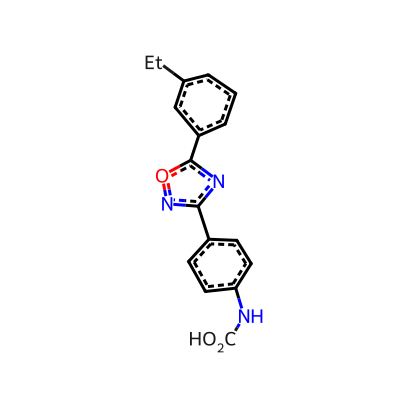 CCc1cccc(-c2nc(-c3ccc(NC(=O)O)cc3)no2)c1